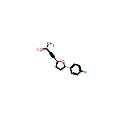 C[C@H](O)C#C[C@@H]1CC[C@@H](c2ccc(F)cc2)O1